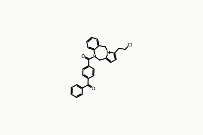 O=C(c1ccccc1)c1ccc(C(=O)N2Cc3ccc([CH]CCl)n3Cc3ccccc32)cc1